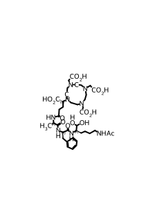 CC(=O)NCCCC[C@@H](NC(=O)[C@@H](Cc1ccccc1)NC(=O)[C@@H](C)NC(=O)CC[C@H](C(=O)O)N1CCN(CC(=O)O)CCN(CC(=O)O)CCN(CC(=O)O)CC1)C(O)O